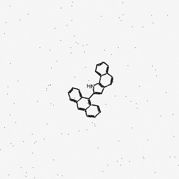 c1ccc2c(-c3cc4ccc5ccccc5c4[nH]3)c3ccccc3cc2c1